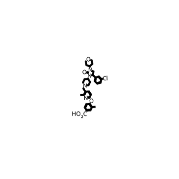 Cc1cc(C(=O)O)ccc1Oc1ccc(CN2CCC(N3C(=O)N(C4CCOCC4)CC3c3cccc(Cl)c3)CC2)c(C)n1